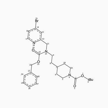 CC(C)(C)OC(=O)N1CCC(CCN(Cc2cc(Br)ccn2)C(=O)OCc2ccccc2)CC1